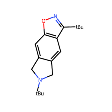 CC(C)(C)c1noc2cc3c(cc12)CN(C(C)(C)C)C3